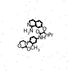 CCCC(Oc1ccc2ccnc(N)c2c1)C(=O)Nc1ccc(N2CCOCC2=O)c(C)c1